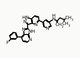 C=C(CC(C)C)Nc1cncc(-c2ccc3[nH]nc(-c4nc5c(-c6cccc(F)c6)ccnc5[nH]4)c3n2)c1